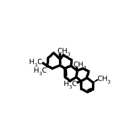 C[C@H]1C=CCC2(C)C1CCC1(C)C3CCC4(C)CCC(C)(C)CC4C3=CCC12